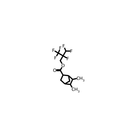 CC1C2CC(C(=O)OCC(F)(C(F)F)C(F)(F)F)C(C2)C1C